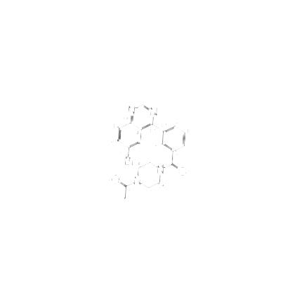 CC(=O)N1CCN(C(=O)c2cccc(-c3ncnc4ccc(Br)cc34)c2)CC1